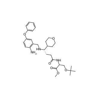 COC(=O)C(COC(C)(C)C)NC(=O)CC[C@H](NCc1cc(Oc2ccccc2)ccc1N)C1CCOCC1